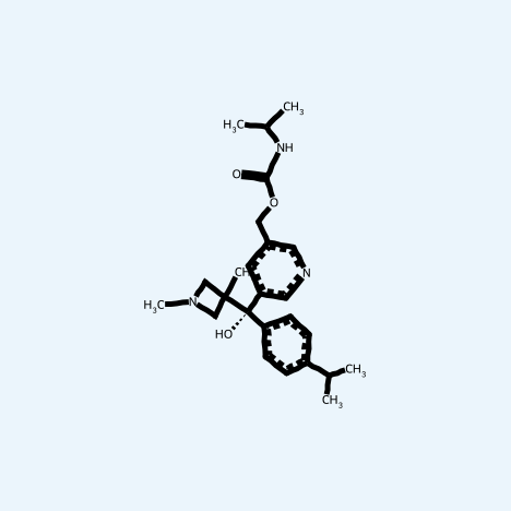 CC(C)NC(=O)OCc1cncc([C@@](O)(c2ccc(C(C)C)cc2)C2(C)CN(C)C2)c1